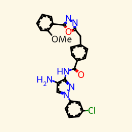 COc1ccccc1-c1nnc(Cc2ccc(C(=O)Nc3nn(-c4cccc(Cl)c4)cc3N)cc2)o1